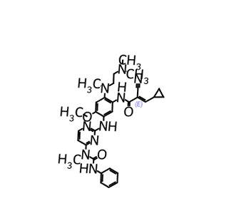 COc1cc(N(C)CCN(C)C)c(NC(=O)/C(C#N)=C/C2CC2)cc1Nc1nccc(N(C)C(=O)Nc2ccccc2)n1